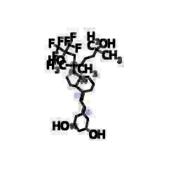 CC(C)(O)CCC[C@@](C)(CC(O)(C(F)(F)F)C(F)(F)F)[C@H]1CCC2/C(=C/C=C3/CC(O)C[C@H](O)C3)CCC[C@@]21C